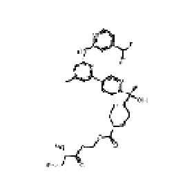 Cc1cc(Nc2cc(C(F)F)ccn2)nc(-c2ccc([C@](C)(O)[C@H]3CC[C@H](C(=O)OCOC(=O)[C@@H](O)CC(C)C)CC3)nc2)c1